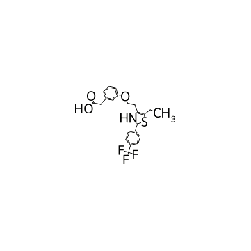 CCC1=C(CCOc2cccc(CC(=O)O)c2)NC(c2ccc(C(F)(F)F)cc2)S1